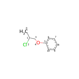 CC(Cl)COc1ccccc1